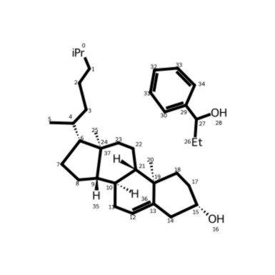 CC(C)CCCC(C)[C@H]1CC[C@H]2[C@@H]3CC=C4C[C@@H](O)CC[C@]4(C)[C@H]3CC[C@]12C.CCC(O)c1ccccc1